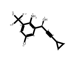 Nc1c([C@@H](O)C#CC2CC2)cc(Cl)cc1C(F)(F)F